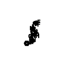 CN1C(=O)C(NC(=O)c2ncn(Cc3ccccc3)n2)CCn2nc(CN3CCC(F)(F)C3)cc21